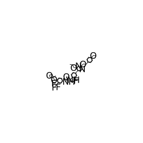 CCOc1nc(OCc2ccc(OC)cc2)ncc1-c1ccc(NC(=O)Nc2ccc(OC3(C)COC3)c(C(F)(F)F)c2)c(F)c1